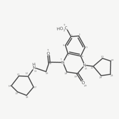 O=C(O)c1ccc2c(c1)N(C(=O)CNC1CCCCC1)CC(=O)N2C1CCCC1